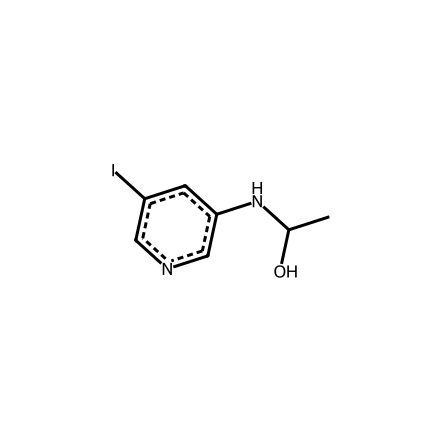 CC(O)Nc1cncc(I)c1